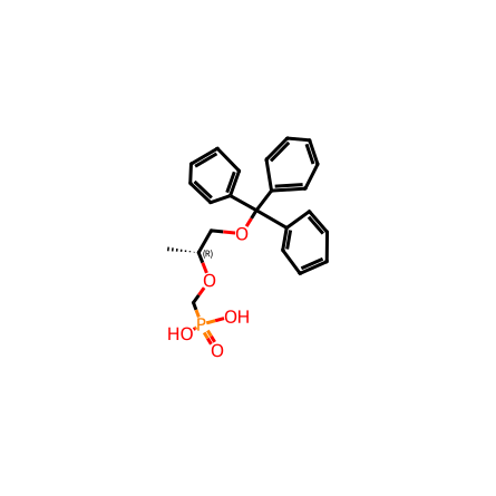 C[C@H](COC(c1ccccc1)(c1ccccc1)c1ccccc1)OCP(=O)(O)O